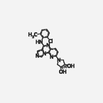 Cc1cccc(Cl)c1Nc1nc2ccc(N3C[C@@H](O)[C@H](O)C3)nc2n2cncc12